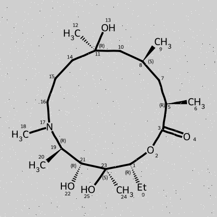 CC[C@H]1OC(=O)[C@H](C)C[C@H](C)C[C@](C)(O)CCCN(C)[C@H](C)[C@@H](O)[C@]1(C)O